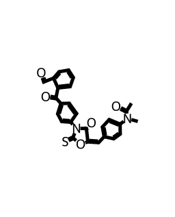 CC(=O)N(C)c1ccc(/C=C2/OC(=S)N(c3ccc(C(=O)c4ccccc4C=O)cc3)C2=O)cc1